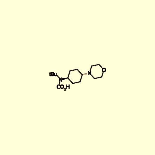 CC(C)(C)N(C(=O)O)[C@H]1CC[C@H](N2CCOCC2)CC1